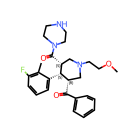 COCCN1C[C@H](C(=O)c2ccccc2)[C@H](c2cccc(F)c2C)[C@H](C(=O)N2CCNCC2)C1